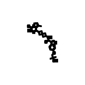 Cc1ccn2c(=O)[nH]nc(C3CC4(CC(NC(=O)c5cnn6cc(OCC(C)(C)O)ccc56)C4)C3)c12